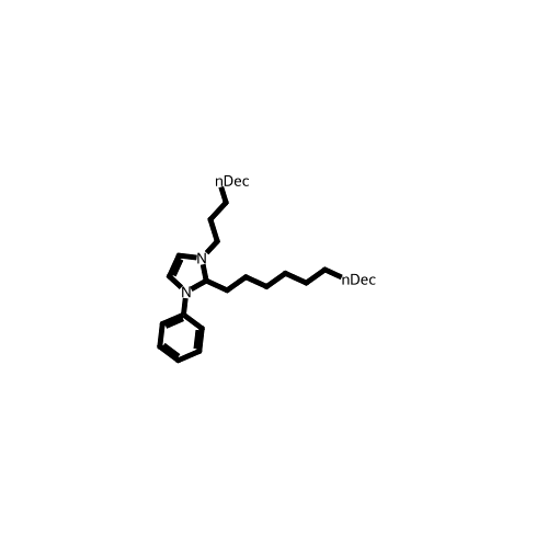 CCCCCCCCCCCCCCCCC1N(CCCCCCCCCCCCC)C=CN1c1ccccc1